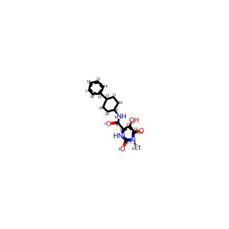 CCn1c(=O)[nH]c(C(=O)NC2CCC(c3ccccc3)CC2)c(O)c1=O